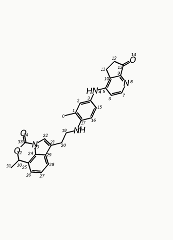 Cc1cc(Nc2ccnc3c2CCC3=O)ccc1NCCc1cn2c3c(cccc13)C(C)OC2=O